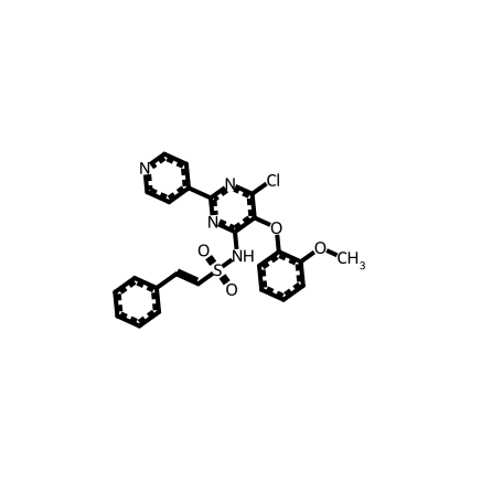 COc1ccccc1Oc1c(Cl)nc(-c2ccncc2)nc1NS(=O)(=O)C=Cc1ccccc1